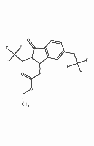 CCOC(=O)CC1c2cc(CC(F)(F)F)ccc2C(=O)N1CC(F)(F)F